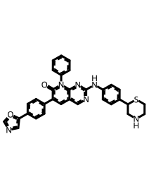 O=c1c(-c2ccc(-c3cnco3)cc2)cc2cnc(Nc3ccc(C4CNCCS4)cc3)nc2n1-c1ccccc1